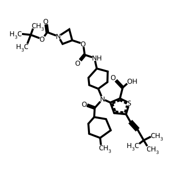 CC1CCC(C(=O)N(c2cc(C#CC(C)(C)C)sc2C(=O)O)C2CCC(NC(=O)OC3CN(C(=O)OC(C)(C)C)C3)CC2)CC1